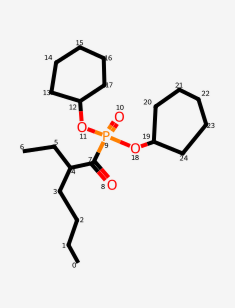 CCCCC(CC)C(=O)P(=O)(OC1CCCCC1)OC1CCCCC1